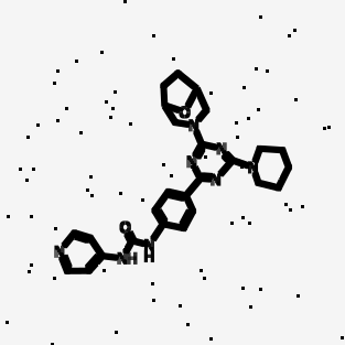 O=C(Nc1ccncc1)Nc1ccc(-c2nc(N3CCCCC3)nc(N3CC4CCC(C3)O4)n2)cc1